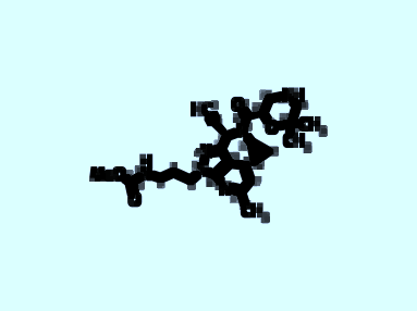 C#C[C@H](c1nn(CCCNC(=O)OC)c2nc(C)ccc12)N(C(=O)[C@H]1CNCC(C)(C)O1)C1CC1